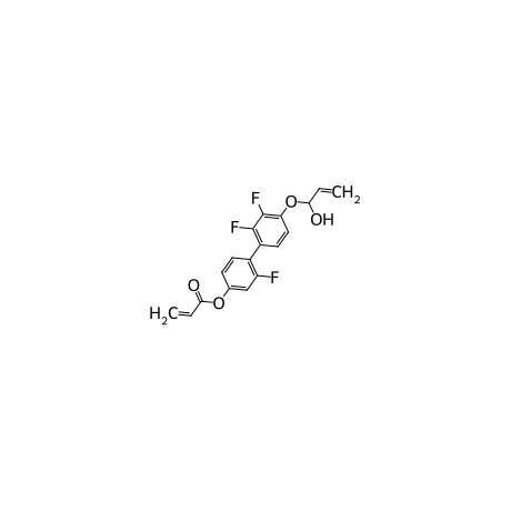 C=CC(=O)Oc1ccc(-c2ccc(OC(O)C=C)c(F)c2F)c(F)c1